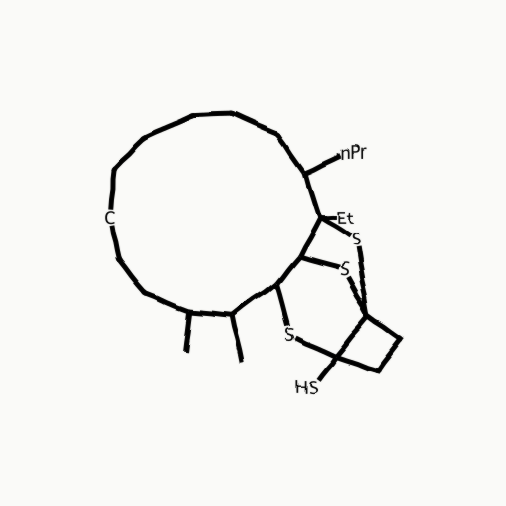 CCCC1CCCCCCCCC(C)C(C)C2SC3(S)CCC34SC2C1(CC)S4